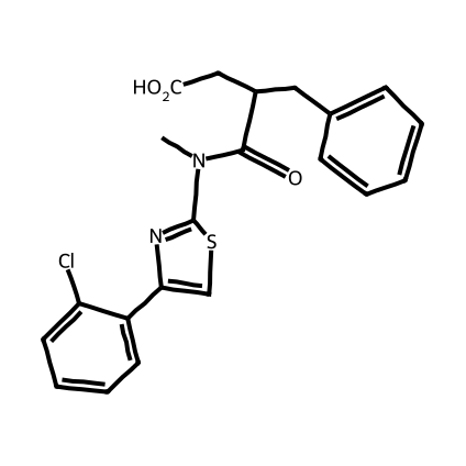 CN(C(=O)C(CC(=O)O)Cc1ccccc1)c1nc(-c2ccccc2Cl)cs1